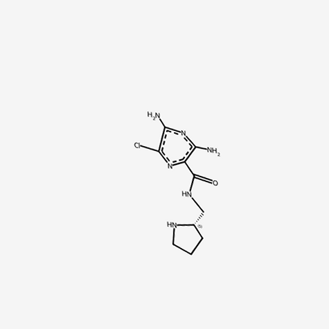 Nc1nc(N)c(C(=O)NC[C@@H]2CCCN2)nc1Cl